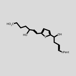 CCCCC/C=C/CC(O)c1ccc(/C=C/C(O)CCCC(=O)O)s1